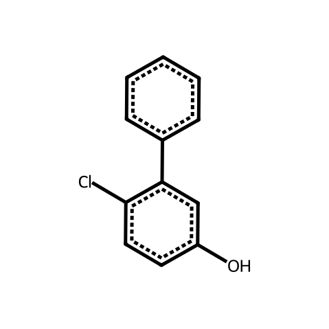 Oc1ccc(Cl)c(-c2ccccc2)c1